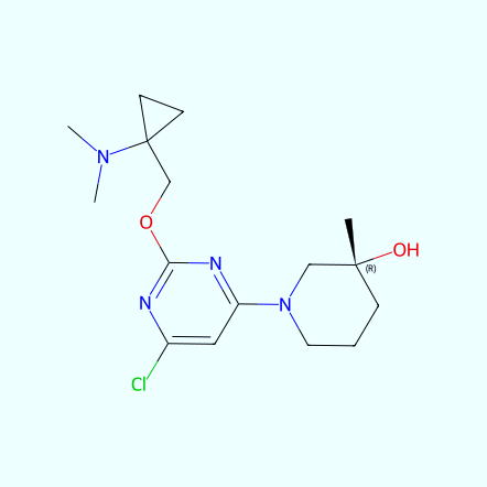 CN(C)C1(COc2nc(Cl)cc(N3CCC[C@@](C)(O)C3)n2)CC1